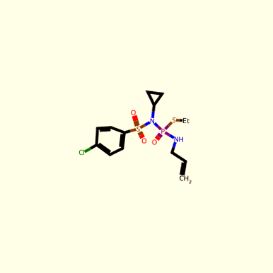 C=CCNP(=O)(SCC)N(C1CC1)S(=O)(=O)c1ccc(Cl)cc1